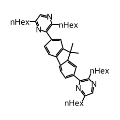 CCCCCCc1cnc(CCCCCC)c(-c2ccc3c(c2)C(C)(C)c2cc(-c4nc(CCCCCC)cnc4CCCCCC)ccc2-3)n1